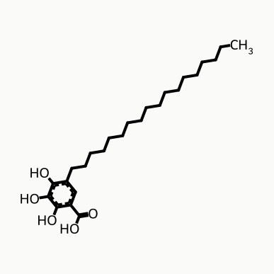 CCCCCCCCCCCCCCCCCCc1cc(C(=O)O)c(O)c(O)c1O